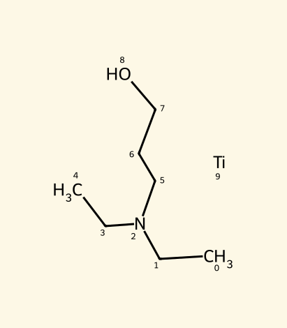 CCN(CC)CCCO.[Ti]